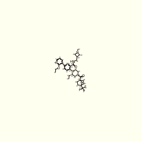 CCOc1ncccc1-c1ccc(N2CCN(C(=O)C34CCC(C(F)(F)F)(CC3)C4)C[C@H]2CC)c(C(=O)NCC2CN(C)C2)n1